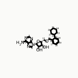 Nc1ncnc2c1ncn2[C@@H]1O[C@H](COCc2ccccc2C2CCCCC2)[C@@H](O)[C@H]1O